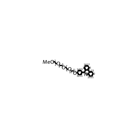 COCCOCCOCCOCCOc1ccc(-c2nc3ccccc3c3ccccc23)cc1